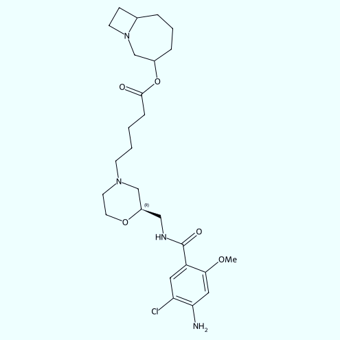 COc1cc(N)c(Cl)cc1C(=O)NC[C@@H]1CN(CCCCC(=O)OC2CCCC3CCN3C2)CCO1